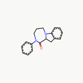 O=C1C2Cc3ccccc3N2CCCN1c1ccccc1